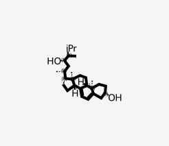 CC(C)[C@@H](C)[C@@H](O)C[C@@H](C)[C@H]1CC[C@H]2C3=CC=C4C[C@@H](O)CC[C@]4(C)[C@H]3CC[C@]12C